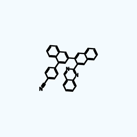 N#Cc1ccc(-c2cc(-c3cc4ccccc4cc3-c3ncc4ccccc4n3)cc3ccccc23)cc1